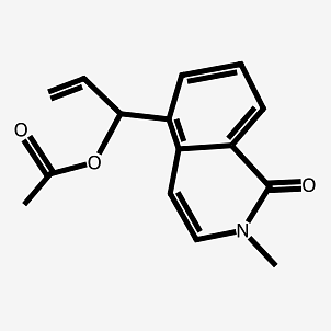 C=CC(OC(C)=O)c1cccc2c(=O)n(C)ccc12